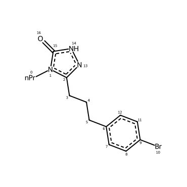 CCCn1c(CCCc2ccc(Br)cc2)n[nH]c1=O